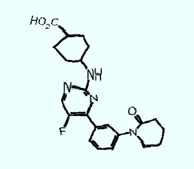 O=C(O)C1CCC(Nc2ncc(F)c(-c3cccc(N4CCCCC4=O)c3)n2)CC1